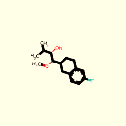 CO[C@@H](C1CCc2cc(F)ccc2C1)[C@@H](O)C(C)C